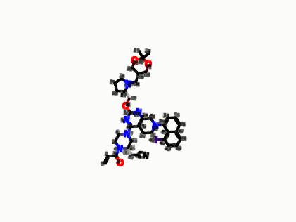 C=CC(=O)N1CCN(c2nc(OC[C@@H]3CCCN3CC3COC(C)(C)OC3)nc3c2CCN(c2cccc4cccc(I)c24)C3)C[C@@H]1CC#N